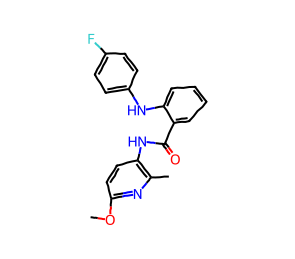 COc1ccc(NC(=O)c2ccccc2Nc2ccc(F)cc2)c(C)n1